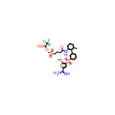 CSc1sc(C(=N)N)cc1S(=O)(=O)c1cccc(-c2c(C)cccc2NC(=O)CCCS(C)(=O)=O)c1.O=C(O)C(F)(F)F